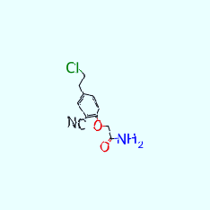 N#Cc1cc(CCCl)ccc1OCC(N)=O